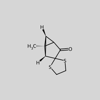 C[C@]12C3C(=O)C4(SCCS4)[C@H]1[C@@H]32